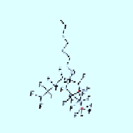 CCCCCCC[O][Sn]([CH](F)C(F)(F)C(F)(F)C(F)F)([CH](F)C(F)(F)C(F)(F)C(F)F)[CH](F)C(F)(F)C(F)(F)C(F)F